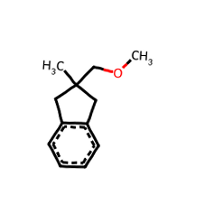 COCC1(C)Cc2ccccc2C1